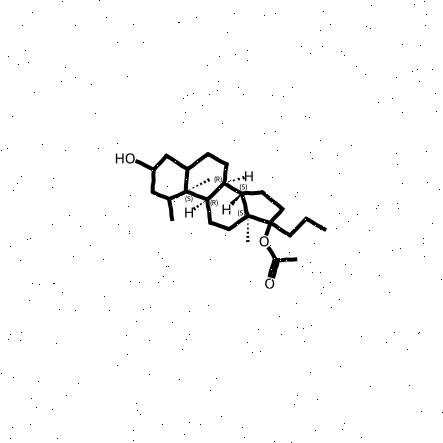 CCCC1(OC(C)=O)CC[C@H]2[C@@H]3CCC4CC(O)CC(C)[C@]4(C)[C@@H]3CC[C@@]21C